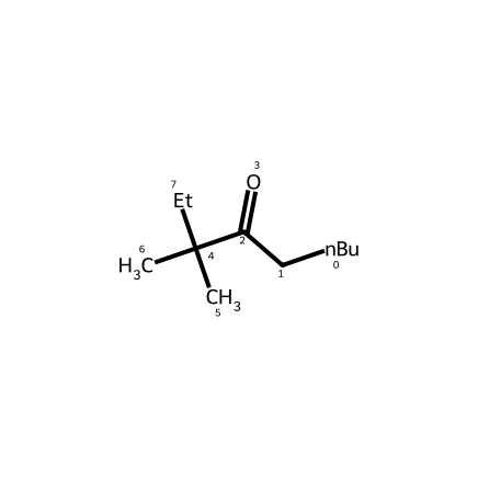 CCCCCC(=O)C(C)(C)CC